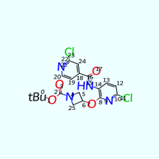 CC(C)(C)OC(=O)N1CC(Oc2nc(Cl)ccc2NC(=O)c2ccnc(Cl)c2)C1